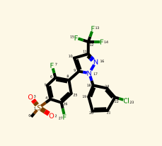 CS(=O)(=O)c1cc(F)c(-c2cc(C(F)(F)F)nn2-c2cccc(Cl)c2)cc1F